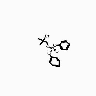 CCC(C)(C)COP(=O)(Oc1ccccc1)Oc1ccccc1